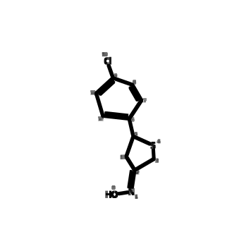 ON=C1CSC(c2ccc(Cl)cc2)C1